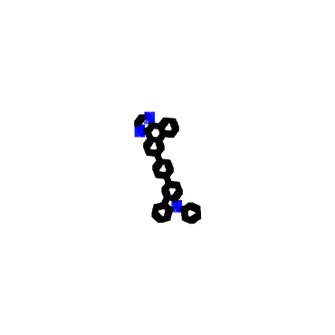 c1ccc(-n2c3ccccc3c3cc(-c4ccc(-c5ccc6c(c5)c5ccccc5c5nccnc65)cc4)ccc32)cc1